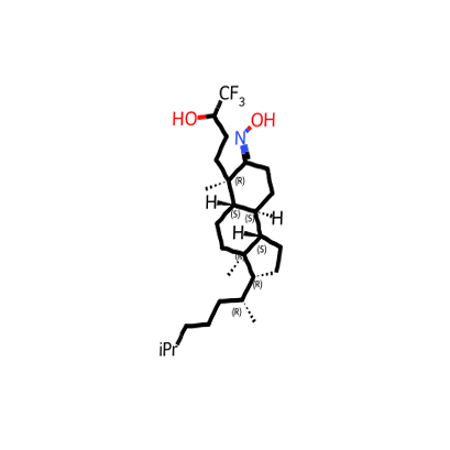 CC(C)CCC[C@@H](C)[C@H]1CC[C@H]2[C@@H]3CCC(=NO)[C@](C)(CCC(O)C(F)(F)F)[C@H]3CC[C@]12C